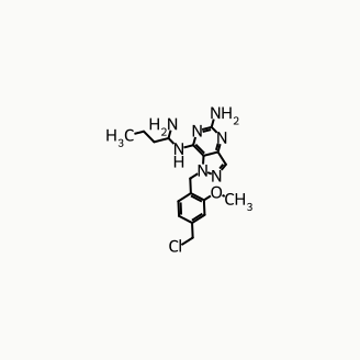 CCCC(N)Nc1nc(N)nc2cnn(Cc3ccc(CCl)cc3OC)c12